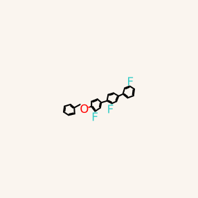 Fc1cccc(-c2ccc(-c3ccc(OCc4ccccc4)c(F)c3)c(F)c2)c1